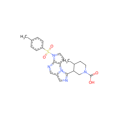 Cc1ccc(S(=O)(=O)n2ccc3c2ncc2cnc(C4CN(C(=O)O)CCC4C)n23)cc1